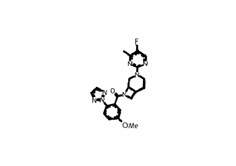 COc1ccc(-n2nccn2)c(C(=O)N2CC3CCN(c4ncc(F)c(C)n4)CC32)c1